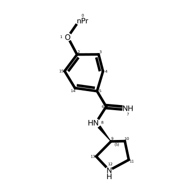 CCCOc1ccc(C(=N)N[C@H]2CCNC2)cc1